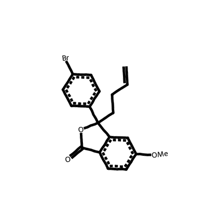 C=CCCC1(c2ccc(Br)cc2)OC(=O)c2ccc(OC)cc21